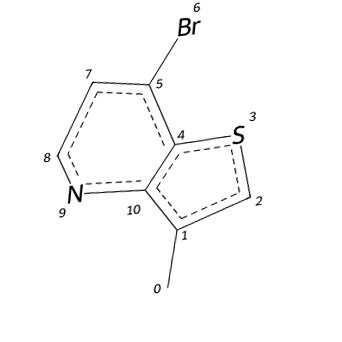 Cc1csc2c(Br)ccnc12